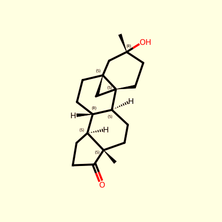 C[C@@]1(O)CC[C@@]23C[C@@]2(CC[C@@H]2[C@@H]3CC[C@]3(C)C(=O)CC[C@@H]23)C1